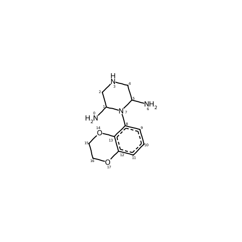 NC1CNCC(N)N1c1cccc2c1OCCO2